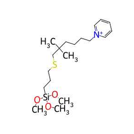 CO[Si](CCCSCC(C)(C)CCCC[n+]1ccccc1)(OC)OC